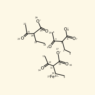 CCC(C(C)=O)C(=O)[O-].CCC(C(C)=O)C(=O)[O-].CCC(C(C)=O)C(=O)[O-].[Fe+3]